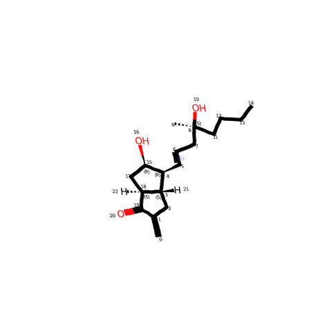 C=C1C[C@H]2[C@H](/C=C/C[C@@](C)(O)CCCC)[C@H](O)C[C@@H]2C1=O